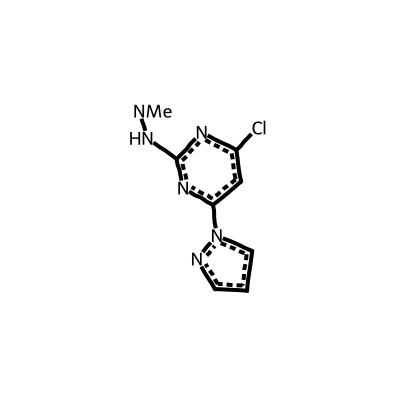 CNNc1nc(Cl)cc(-n2cccn2)n1